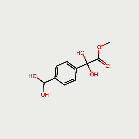 COC(=O)C(O)(O)c1ccc(C(O)O)cc1